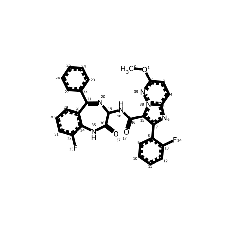 COc1ccc2nc(-c3ccccc3F)c(C(=O)NC3N=C(c4ccccc4)c4cccc(F)c4NC3=O)n2n1